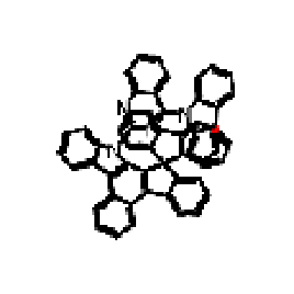 c1ccc2c(c1)-c1ccccc1C21c2ccccc2-c2c1c1c(c3ccccc23)c2ccccc2n1-c1nc(-n2c3ccccc3c3ccccc32)c2ccccc2n1